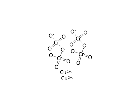 [Cu+2].[Cu+2].[O]=[Cr](=[O])([O-])[O][Cr](=[O])(=[O])[O-].[O]=[Cr](=[O])([O-])[O][Cr](=[O])(=[O])[O-]